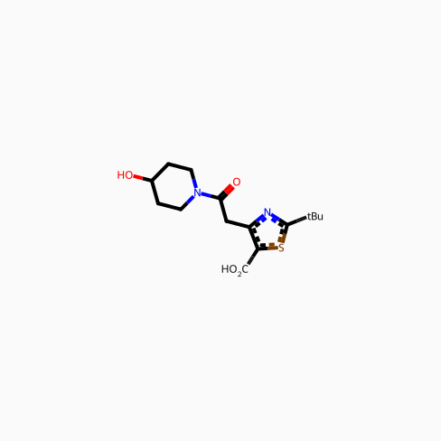 CC(C)(C)c1nc(CC(=O)N2CCC(O)CC2)c(C(=O)O)s1